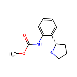 COC(=O)Nc1ccccc1[C@@H]1CCC[N]1